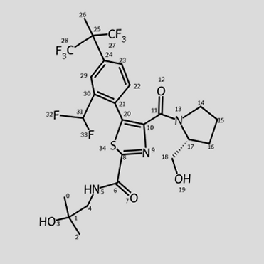 CC(C)(O)CNC(=O)c1nc(C(=O)N2CCC[C@@H]2CO)c(-c2ccc(C(C)(C(F)(F)F)C(F)(F)F)cc2C(F)F)s1